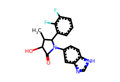 CC1C(O)C(=O)N(c2ccc3[nH]cnc3c2)C1c1cccc(F)c1F